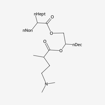 CCCCCCCCCCC(COC(=O)C(CCCCCCC)CCCCCCCCC)OC(=O)C(C)CCN(C)C